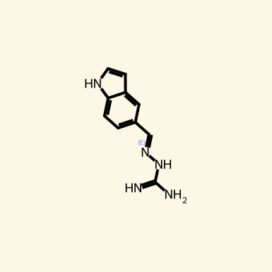 N=C(N)N/N=C/c1ccc2[nH]ccc2c1